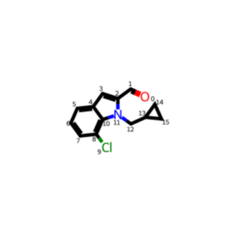 O=Cc1cc2cccc(Cl)c2n1CC1CC1